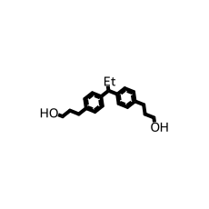 CCC(c1ccc(CCCO)cc1)c1ccc(CCCO)cc1